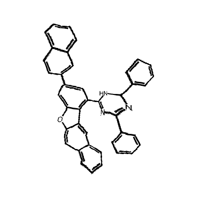 c1ccc(C2=NC(c3ccccc3)NC(c3cc(-c4ccc5ccccc5c4)cc4oc5cc6ccccc6cc5c34)=N2)cc1